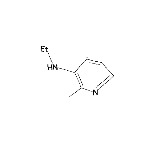 CCNc1[c]ccnc1C